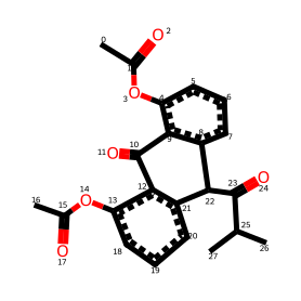 CC(=O)Oc1cccc2c1C(=O)c1c(OC(C)=O)cccc1C2C(=O)C(C)C